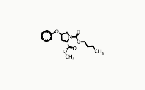 CCCCOC(=O)N1CC(Oc2ccccc2)C[C@H]1C(=O)OC